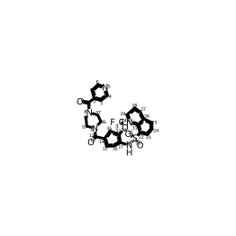 O=C(c1ccncc1)N1CCN(C(=O)c2ccc(NS(=O)(=O)c3cccc4cccnc34)c(OC(F)(F)F)c2)CC1